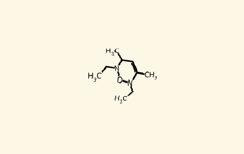 CCN1ON(CC)C(C)C=C1C